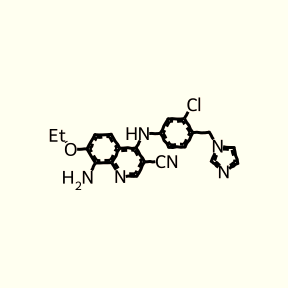 CCOc1ccc2c(Nc3ccc(Cn4ccnc4)c(Cl)c3)c(C#N)cnc2c1N